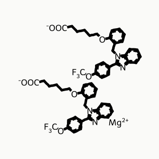 O=C([O-])CCCCCOc1ccccc1Cn1c(-c2ccc(OC(F)(F)F)cc2)nc2ccccc21.O=C([O-])CCCCCOc1ccccc1Cn1c(-c2ccc(OC(F)(F)F)cc2)nc2ccccc21.[Mg+2]